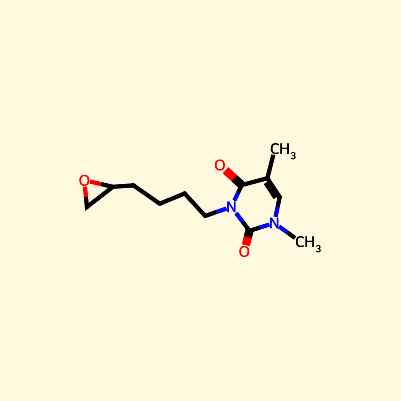 Cc1cn(C)c(=O)n(CCCCC2CO2)c1=O